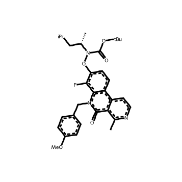 COc1ccc(Cn2c(=O)c3c(C)nccc3c3ccc(ON(C(=O)OC(C)(C)C)[C@@H](C)CC(C)C)c(F)c32)cc1